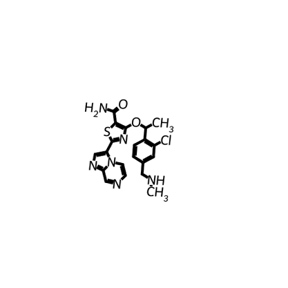 CNCc1ccc(C(C)Oc2nc(-c3cnc4cnccn34)sc2C(N)=O)c(Cl)c1